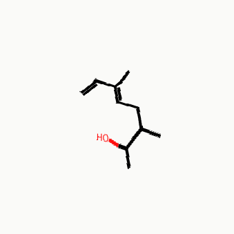 C=CC(C)=CCC(C)C(C)O